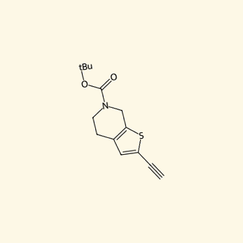 C#Cc1cc2c(s1)CN(C(=O)OC(C)(C)C)CC2